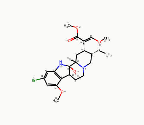 CC[C@@H]1CN2CCC3c4c(cc(Br)cc4OC)N[C@]3(OC)[C@@H]2C[C@@H]1/C(=C\OC)C(=O)OC